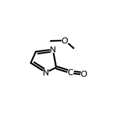 COC.O=C=C1N=CC=N1